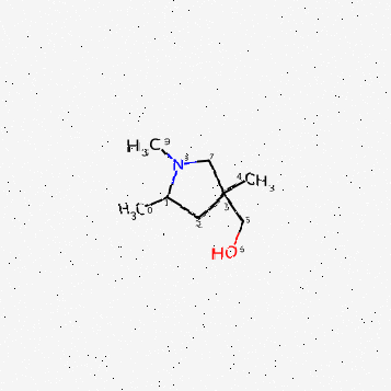 CC1CC(C)(CO)CN1C